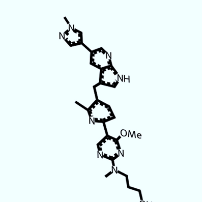 COc1nc(N(C)CCCO)ncc1-c1ccc(Cc2c[nH]c3ncc(-c4cnn(C)c4)cc23)c(C)n1